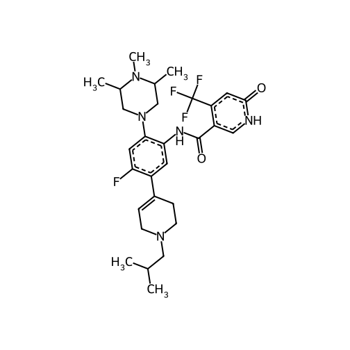 CC(C)CN1CC=C(c2cc(NC(=O)c3c[nH]c(=O)cc3C(F)(F)F)c(N3CC(C)N(C)C(C)C3)cc2F)CC1